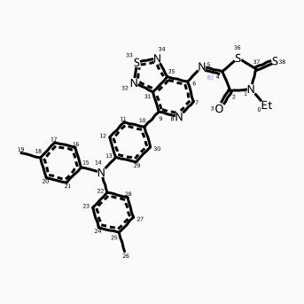 CCN1C(=O)/C(=N\c2cnc(-c3ccc(N(c4ccc(C)cc4)c4ccc(C)cc4)cc3)c3nsnc23)SC1=S